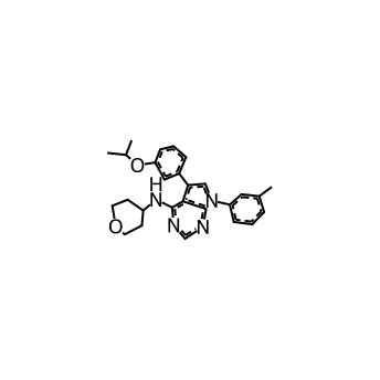 Cc1cccc(-n2cc(-c3cccc(OC(C)C)c3)c3c(NC4CCOCC4)ncnc32)c1